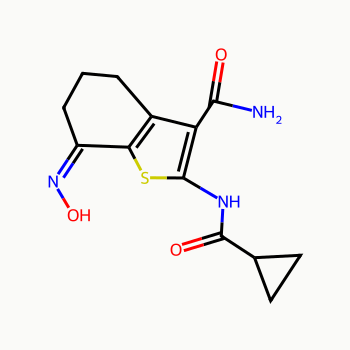 NC(=O)c1c(NC(=O)C2CC2)sc2c1CCC/C2=N/O